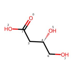 O=C(O)C[C@H](O)CO